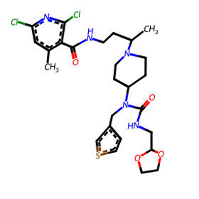 Cc1cc(Cl)nc(Cl)c1C(=O)NCCC(C)N1CCC(N(Cc2ccsc2)C(=O)NCC2OCCO2)CC1